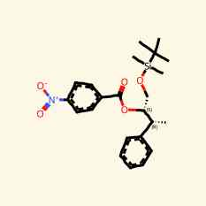 C[C@H](c1ccccc1)[C@@H](CO[Si](C)(C)C(C)(C)C)OC(=O)c1ccc([N+](=O)[O-])cc1